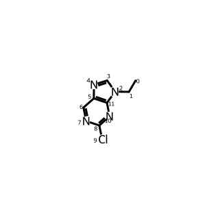 CCn1cnc2cnc(Cl)nc21